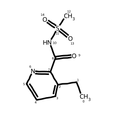 CCc1cccnc1C(=O)NS(C)(=O)=O